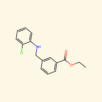 CCOC(=O)c1cccc(CNc2ccccc2Cl)c1